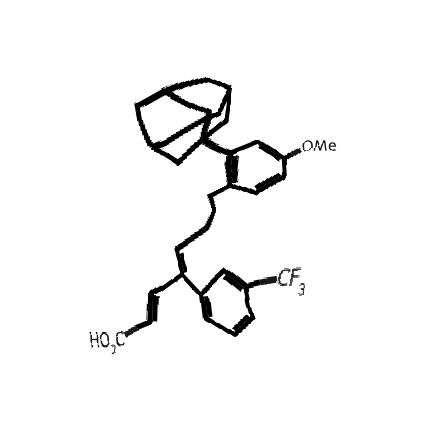 COc1ccc(CC/C=C(/C=CC(=O)O)c2cccc(C(F)(F)F)c2)c(C23CC4CC(CC(C4)C2)C3)c1